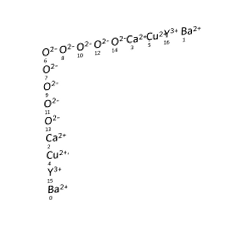 [Ba+2].[Ba+2].[Ca+2].[Ca+2].[Cu+2].[Cu+2].[O-2].[O-2].[O-2].[O-2].[O-2].[O-2].[O-2].[O-2].[O-2].[Y+3].[Y+3]